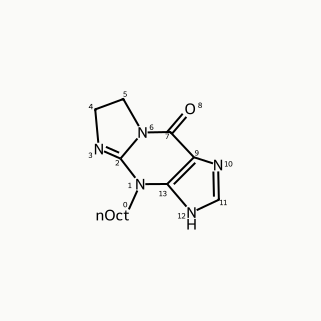 CCCCCCCCN1C2=NCCN2C(=O)c2nc[nH]c21